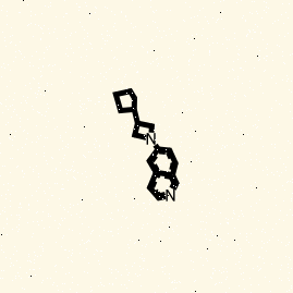 c1cc2cc(N3CC(C4CCCC4)C3)ccc2cn1